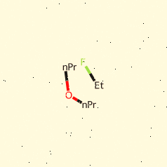 CCCOCCC.CCF